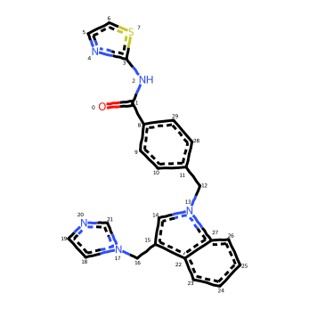 O=C(Nc1nccs1)c1ccc(Cn2cc(Cn3ccnc3)c3ccccc32)cc1